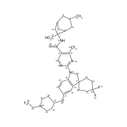 CC1CC2CC(C1)C(NC(=O)c1cnc(N3CC4(CCC(F)(F)CC4)c4cc(OC5CCN(CC(F)(F)F)CC5)ccc43)nc1C(F)(F)F)(C(=O)O)C2